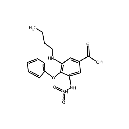 CCCCNc1cc(C(=O)O)cc(N[SH](=O)=O)c1Oc1ccccc1